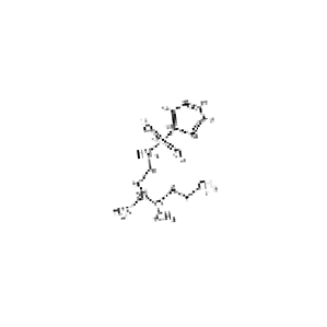 CCCC(C)N(C)CCNS(=O)(=O)c1ccccc1